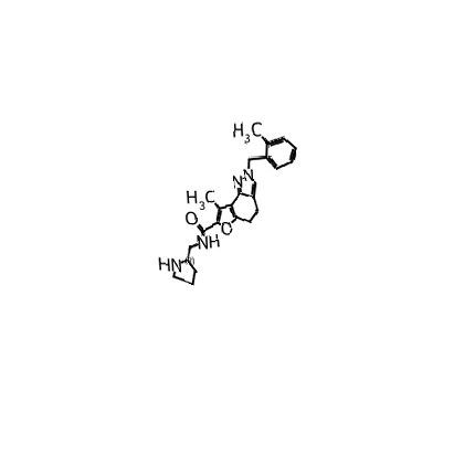 Cc1ccccc1Cn1cc2c(n1)-c1c(oc(C(=O)NC[C@H]3CCCN3)c1C)CC2